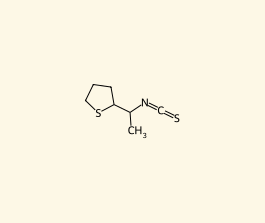 CC(N=C=S)C1CCCS1